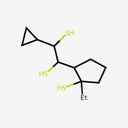 CCC1(S)CCCC1C(S)C(S)C1CC1